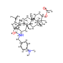 C=C(C)[C@@H]1CC[C@]2(C(=O)NCc3ccc(N(C)C)cc3)CC[C@]3(C)[C@H](CC[C@@H]4[C@@]5(C)CC[C@H](OC(C)=O)C(C)(C)[C@@H]5CC[C@]43C)[C@@H]12